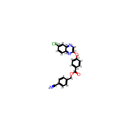 N#Cc1ccc(COC(=O)c2ccc(Oc3cnc4cc(Cl)ccc4n3)cc2)cc1